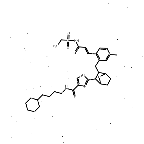 O=C(/C=C/c1ccc(F)cc1CC1C2CCC(O2)C1c1nc(C(=O)NCCCCC2CCCCC2)co1)NS(=O)(=O)CC(F)(F)F